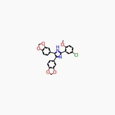 COc1ccc(Cl)cc1-c1nc(-c2ccc3c(c2)OCO3)c(-c2ccc3c(c2)OCO3)[nH]1